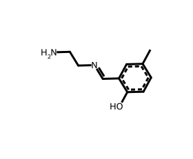 Cc1ccc(O)c(C=NCCN)c1